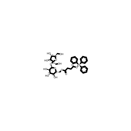 O=C(CCC(=O)[O][Pb]([c]1ccccc1)([c]1ccccc1)[c]1ccccc1)OC[C@H]1O[C@H](O[C@]2(CO)O[C@H](CO)[C@@H](O)[C@@H]2O)[C@H](O)[C@@H](O)[C@@H]1O